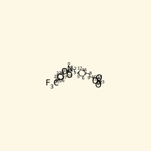 CN(CC[C@H]1CC[C@H](CCCOS(C)(=O)=O)CC1)C(=O)Oc1ccc(C(F)(F)F)cc1